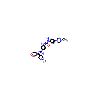 CCN1CCc2c(nc(-c3ccc(NC(=O)Nc4ccc(N5CCN(C)CC5)cc4)cc3)nc2N2C3CCC2COC3)C1